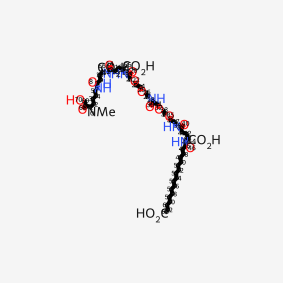 CN[C@@H](CCCCNC(=O)CC[C@H](NC(=O)CC[C@H](NC(=O)COCCOCCNC(=O)COCCOCCNC(=O)CC[C@H](NC(=O)CCCCCCCCCCCCCCCCC(=O)O)C(=O)O)C(=O)O)C(=O)O)C(=O)CO